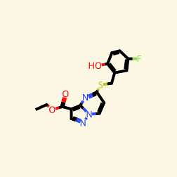 CCOC(=O)c1cnn2ccc(SCc3cc(F)ccc3O)nc12